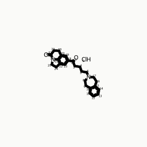 Cl.O=C(CCCCN1CCc2ccccc2CC1)c1cc2c3c(c1)CCN3C(=O)CC2